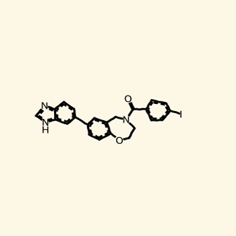 O=C(c1ccc(I)cc1)N1CCOc2ccc(-c3ccc4nc[nH]c4c3)cc2C1